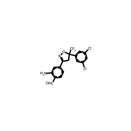 Nc1cc(C2=NOC(c3cc(Cl)cc(Cl)c3)(C(F)(F)F)C2)ccc1C=O